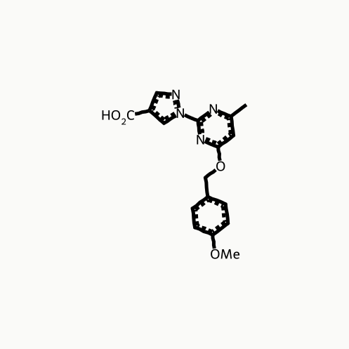 COc1ccc(COc2cc(C)nc(-n3cc(C(=O)O)cn3)n2)cc1